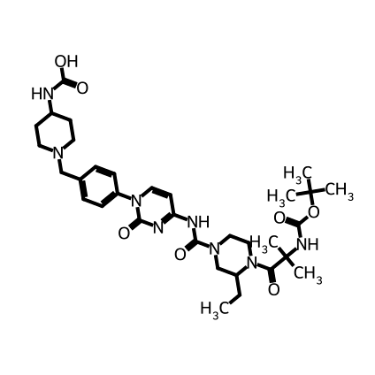 CCC1CN(C(=O)Nc2ccn(-c3ccc(CN4CCC(NC(=O)O)CC4)cc3)c(=O)n2)CCN1C(=O)C(C)(C)NC(=O)OC(C)(C)C